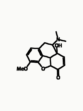 COc1ccc2c3c1OC1C(=O)C=CC(O)(C31)C(N(C)C)C2